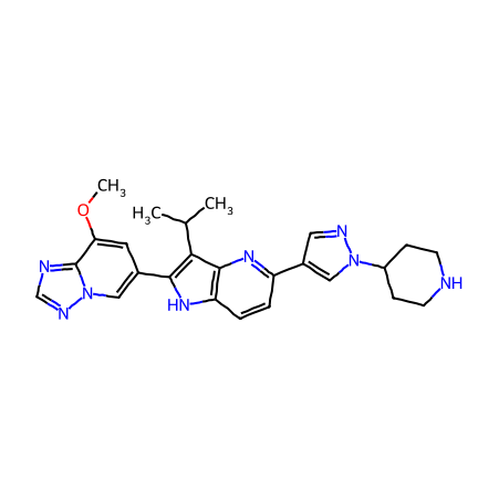 COc1cc(-c2[nH]c3ccc(-c4cnn(C5CCNCC5)c4)nc3c2C(C)C)cn2ncnc12